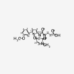 COc1cccc(-c2ccc(N(C(=O)NCCC(=O)O)[C@H]3C(=O)C=CN(C)C3=O)s2)c1